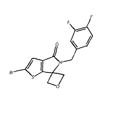 O=C1c2cc(Br)sc2C2(COC2)N1Cc1ccc(F)c(F)c1